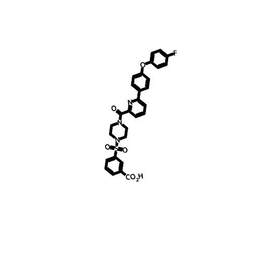 O=C(O)c1cccc(S(=O)(=O)N2CCN(C(=O)c3cccc(-c4ccc(Oc5ccc(F)cc5)cc4)n3)CC2)c1